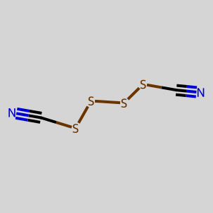 N#CSSSSC#N